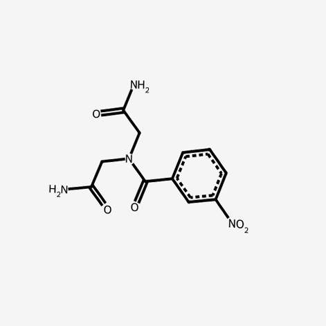 NC(=O)CN(CC(N)=O)C(=O)c1cccc([N+](=O)[O-])c1